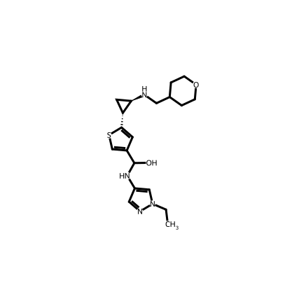 CCn1cc(NC(O)c2csc([C@@H]3C[C@H]3NCC3CCOCC3)c2)cn1